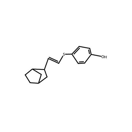 Oc1ccc(SC=CC2CC3CCC2C3)cc1